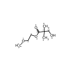 COCCOC(=O)C(C)(C)CO